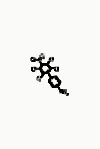 Nc1ccc(-c2c(Cl)c(Cl)c(N(Cl)Cl)c(Cl)c2Cl)cc1